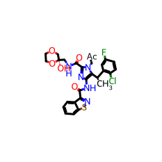 CC(=O)Cn1c(C(=O)NC[C@]2(O)COCCO2)nc(NC(=O)c2nsc3ccccc23)c1[C@H](C)c1cc(F)ccc1Cl